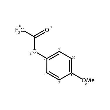 COc1ccc(OC(=O)C(F)(F)F)cc1